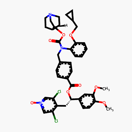 COc1ccc([C@H](Cc2c(Cl)c[n+]([O-])cc2Cl)OC(=O)c2ccc(CN(C(=O)O[C@H]3CN4CCC3CC4)c3ccccc3OCC3CC3)cc2)cc1OC